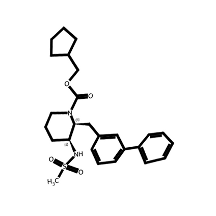 CS(=O)(=O)N[C@H]1CCCN(C(=O)OCC2CCCC2)[C@H]1Cc1cccc(-c2ccccc2)c1